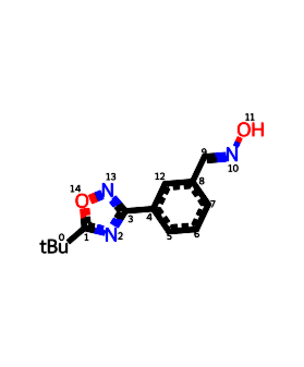 CC(C)(C)c1nc(-c2cccc(/C=N/O)c2)no1